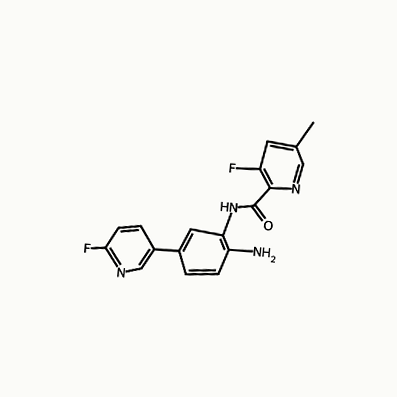 Cc1cnc(C(=O)Nc2cc(-c3ccc(F)nc3)ccc2N)c(F)c1